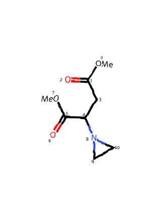 COC(=O)CC(C(=O)OC)N1CC1